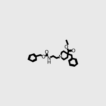 CCOC(=O)C1(Cc2ccccc2)CCN(CCNC(=O)OCc2ccccc2)CC1